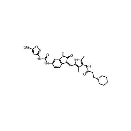 Cc1[nH]c(C=C2C(=O)Nc3cc(NC(=O)Nc4cc(C(C)(C)C)on4)ccc32)c(C)c1NC(=O)CCN1CCCCC1